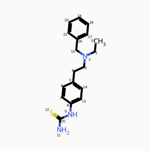 CCN(CCc1ccc(NC(N)=S)cc1)Cc1ccccc1